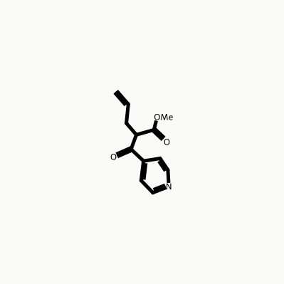 C=CCC(C(=O)OC)C(=O)c1ccncc1